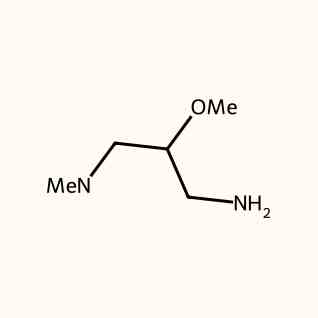 CNCC(CN)OC